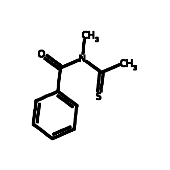 CC(=S)N(C)C(=O)c1ccccc1